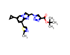 Cc1ncc(-c2cc(C3CC3)cn3cc(Cn4cc(C(=O)OC(C)(C)C)nn4)nc23)s1